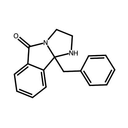 O=C1c2ccccc2C2(Cc3ccccc3)NCCN12